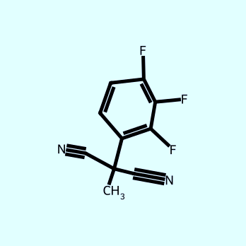 CC(C#N)(C#N)c1ccc(F)c(F)c1F